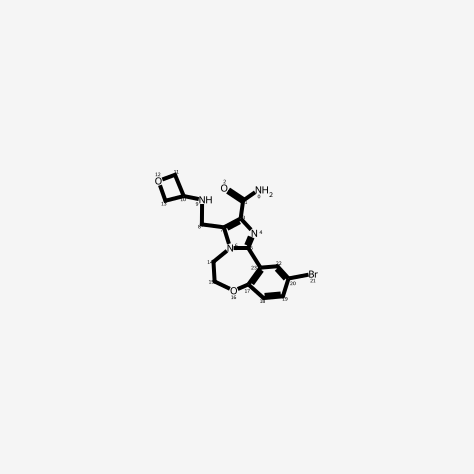 NC(=O)c1nc2n(c1CNC1COC1)CCOc1ccc(Br)cc1-2